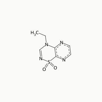 CCN1C=NS(=O)(=O)c2nccnc21